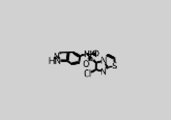 O=S(=O)(Nc1ccc2[nH]ncc2c1)C1C(Cl)N=C2SC=CN21